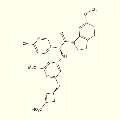 COc1cc(N[C@H](C(=O)N2CCc3ccc(OC(F)(F)F)cc32)c2ccc(Cl)cc2)cc(O[C@@H]2C=C(C(=O)O)C2)c1